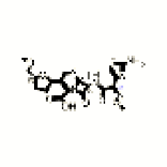 COC[C@@H]1CCC(C2=C(C(=O)O)N3C(=O)[C@@H](NC(=O)/C(=N\OC)c4csc(N)n4)[C@H]3SC2)O1